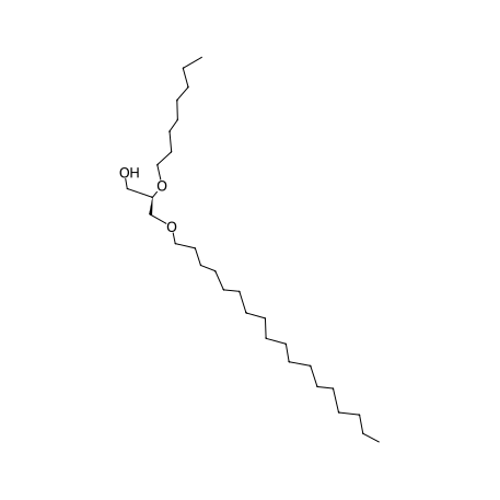 CCCCCCCCCCCCCCCCCCOC[C@@H](CO)OCCCCCCCC